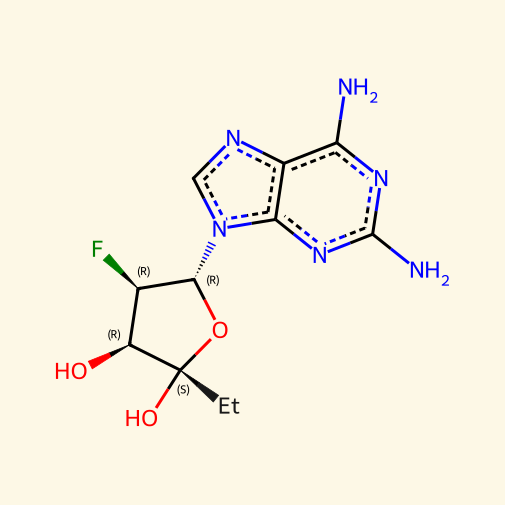 CC[C@]1(O)O[C@@H](n2cnc3c(N)nc(N)nc32)[C@H](F)[C@@H]1O